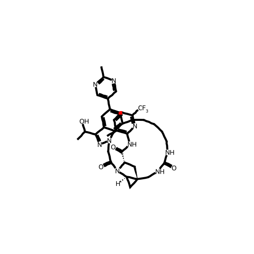 Cc1ncc(-c2cc3c4c(c2)c(C(C)O)nn4CC(=O)N2[C@H](C(=O)Nc4nc(C(F)(F)F)ccc4C)C[C@@]4(CNC(=O)NCCCCC3)C[C@@H]24)cn1